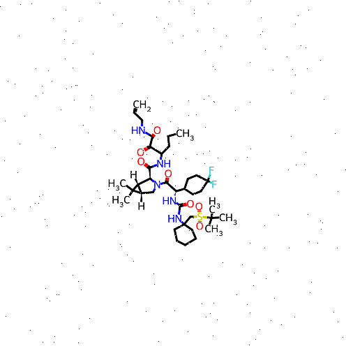 C=CCNC(=O)C(=O)C(CCC)NC(=O)[C@@H]1[C@@H]2[C@H](CN1C(=O)[C@@H](NC(=O)NC1(CS(=O)(=O)C(C)(C)C)CCCCC1)C1CCC(F)(F)CC1)C2(C)C